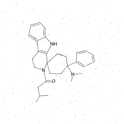 CC(C)CC(=O)N1CCc2c([nH]c3ccccc23)C12CCC(c1ccccc1)(N(C)C)CC2